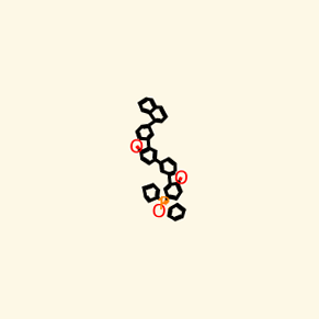 O=P(c1ccccc1)(c1ccccc1)c1ccc2oc3ccc(-c4ccc5oc6ccc(-c7cccc8ccccc78)cc6c5c4)cc3c2c1